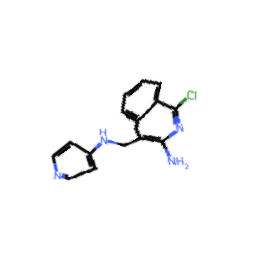 Nc1nc(Cl)c2ccccc2c1CNc1ccncc1